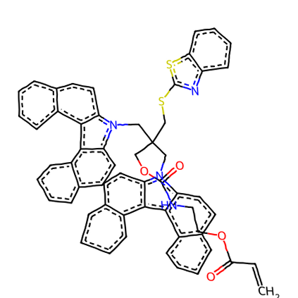 C=CC(=O)OCCNC(=O)OCC(CSc1nc2ccccc2s1)(Cn1c2ccc3ccccc3c2c2c3ccccc3ccc21)Cn1c2ccc3ccccc3c2c2c3ccccc3ccc21